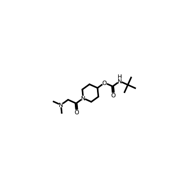 CN(C)CC(=O)N1CCC(OC(=O)NC(C)(C)C)CC1